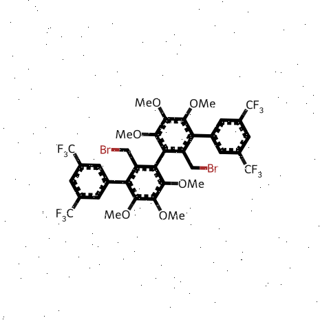 COc1c(OC)c(-c2cc(C(F)(F)F)cc(C(F)(F)F)c2)c(CBr)c(-c2c(CBr)c(-c3cc(C(F)(F)F)cc(C(F)(F)F)c3)c(OC)c(OC)c2OC)c1OC